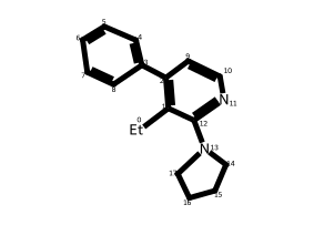 CCc1c(-c2ccccc2)ccnc1N1CCCC1